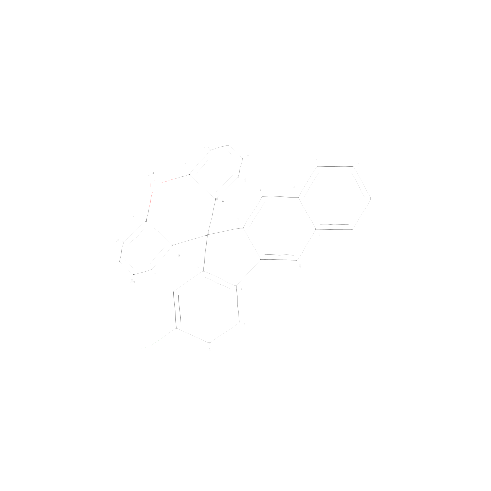 BrC1=CC2=C(CC1)c1cc3ccccc3cc1C21c2ccccc2Oc2ccccc21